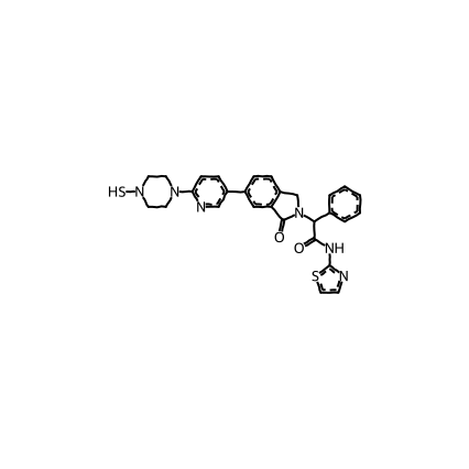 O=C(Nc1nccs1)C(c1ccccc1)N1Cc2ccc(-c3ccc(N4CCN(S)CC4)nc3)cc2C1=O